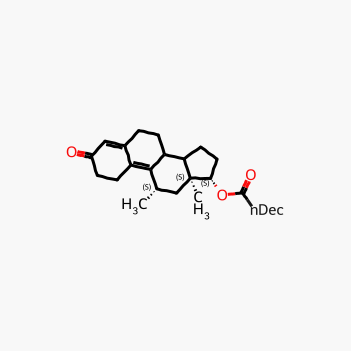 CCCCCCCCCCC(=O)O[C@H]1CCC2C3CCC4=CC(=O)CCC4=C3[C@@H](C)C[C@@]21C